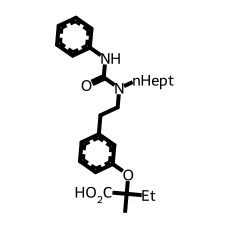 CCCCCCCN(CCc1cccc(OC(C)(CC)C(=O)O)c1)C(=O)Nc1ccccc1